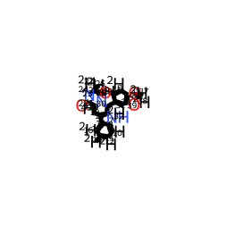 [2H]c1c([2H])c(C2c3[nH]c4c([2H])c([2H])c([2H])c([2H])c4c3C[C@@H]3C(=O)N(C)C([2H])([2H])C(=O)N23)c([2H])c2c1OC([2H])([2H])O2